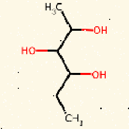 C[CH]C(O)C(O)C(C)O